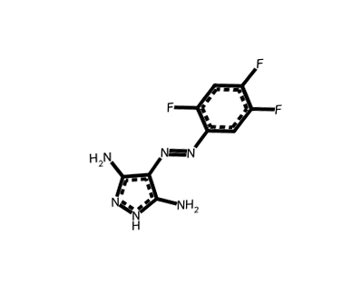 Nc1n[nH]c(N)c1N=Nc1cc(F)c(F)cc1F